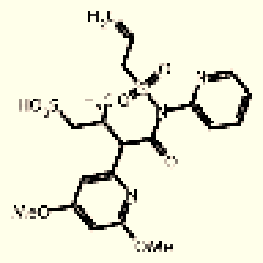 C=CCS(=O)(=O)N(C(=O)C(c1cc(OC)cc(OC)n1)C(C)CS(=O)(=O)O)c1ccccn1